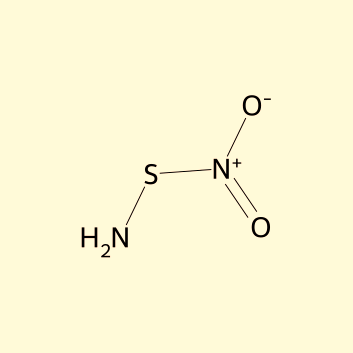 NS[N+](=O)[O-]